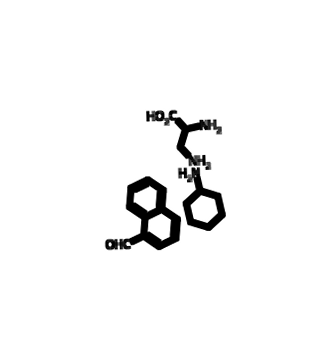 NC1CCCCC1.NCC(N)C(=O)O.O=Cc1cccc2ccccc12